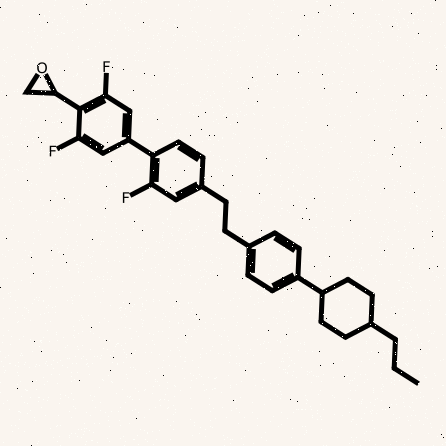 CCCC1CCC(c2ccc(CCc3ccc(-c4cc(F)c(C5CO5)c(F)c4)c(F)c3)cc2)CC1